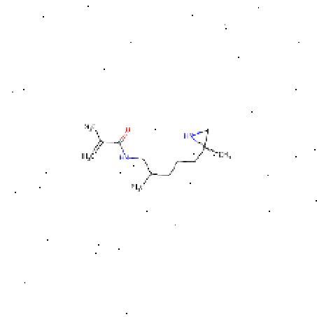 C=C(C)C(=O)NCC(C)CCCC1(C)CN1